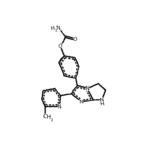 Cc1cccc(-c2nc3n(c2-c2ccc(OC(N)=O)cc2)CCN3)n1